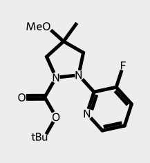 COC1(C)CN(C(=O)OC(C)(C)C)N(c2ncccc2F)C1